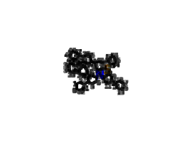 c1ccc(-c2ccc(N(c3ccc(-c4ccccc4)cc3)c3cc(-c4ccc5c(c4)C(c4ccccc4)(c4ccccc4)c4ccccc4-5)cc4c3sc3ccccc34)cc2)cc1